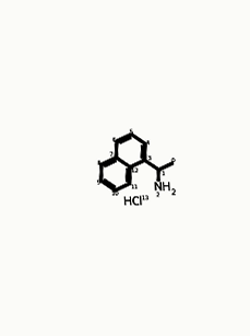 CC(N)c1cccc2ccccc12.Cl